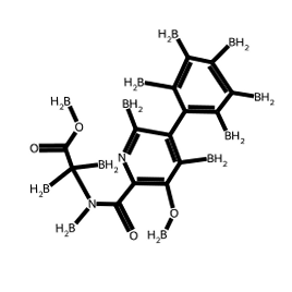 BOC(=O)C(B)(B)N(B)C(=O)c1nc(B)c(-c2c(B)c(B)c(B)c(B)c2B)c(B)c1OB